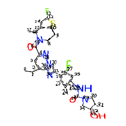 CCc1cc(C(=O)N2CCc3sc(F)cc3C2C)nn2cc(-c3ccc(NC(=O)N4CCC(O)C4)cc3F)nc12